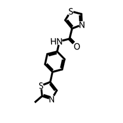 Cc1ncc(-c2ccc(NC(=O)c3cscn3)cc2)s1